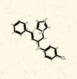 Clc1ccc(OC(C=Cc2ccccc2)Cn2ccnc2)cc1